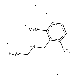 COc1cccc([N+](=O)[O-])c1CNCC(=O)O